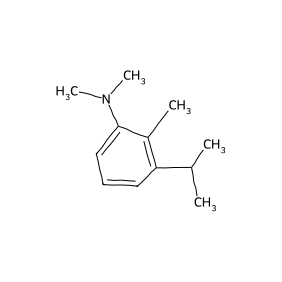 Cc1c(C(C)C)cccc1N(C)C